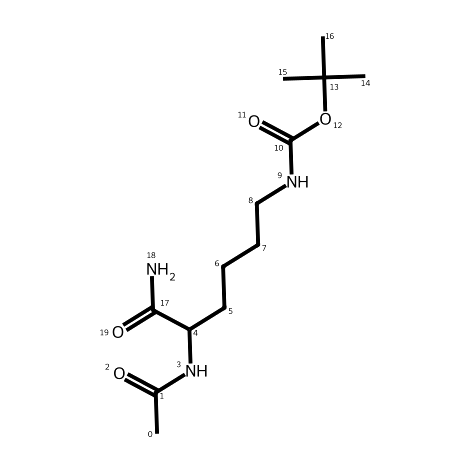 CC(=O)NC(CCCCNC(=O)OC(C)(C)C)C(N)=O